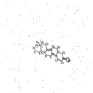 C[C@]12CCCCC1C1CCC3C4C=CC(=O)CC4CCC3C1CC2